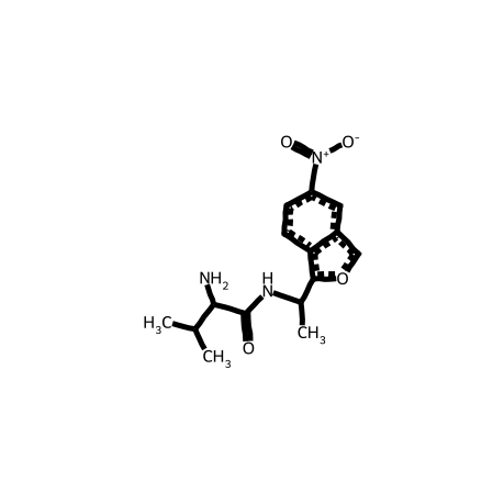 CC(NC(=O)C(N)C(C)C)c1occ2cc([N+](=O)[O-])ccc12